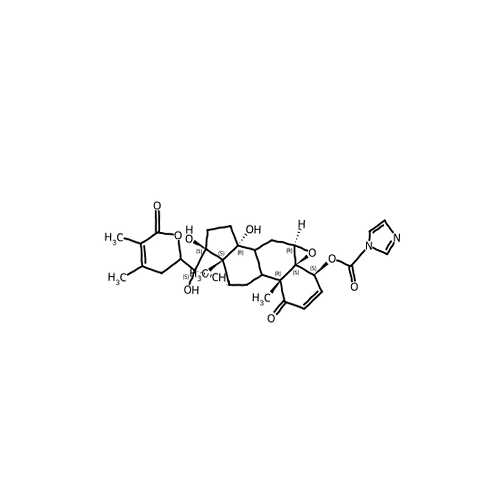 CC1=C(C)C(=O)OC([C@](C)(O)[C@]2(O)CC[C@@]3(O)C4C[C@H]5O[C@]56[C@@H](OC(=O)n5ccnc5)C=CC(=O)[C@]6(C)C4CC[C@]23C)C1